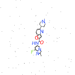 Cc1cn2cc(NC(=O)c3cc4nc(C5CCN(C)CC5)ccc4o3)cc(F)c2n1